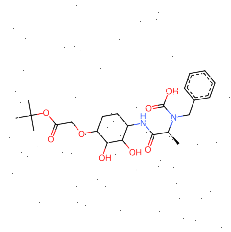 C[C@@H](C(=O)NC1CCC(OCC(=O)OC(C)(C)C)C(O)C1O)N(Cc1ccccc1)C(=O)O